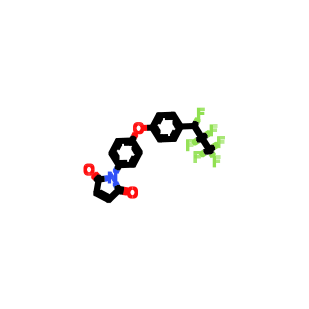 O=C1C=CC(=O)N1c1ccc(Oc2ccc(C(F)C(F)(F)C(F)(F)F)cc2)cc1